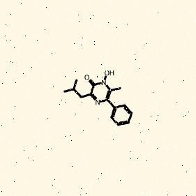 Cc1c(-c2ccccc2)nc(CC(C)C)c(=O)n1O